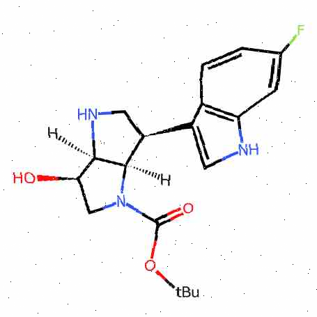 CC(C)(C)OC(=O)N1C[C@@H](O)[C@H]2NC[C@@H](c3c[nH]c4cc(F)ccc34)[C@H]21